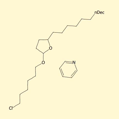 CCCCCCCCCCCCCCCCC1CCC(OCCCCCCCl)O1.c1ccncc1